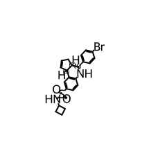 O=S(=O)(NC1CCC1)c1ccc2c(c1)[C@H]1C=CC[C@H]1[C@@H](c1ccc(Br)cc1)N2